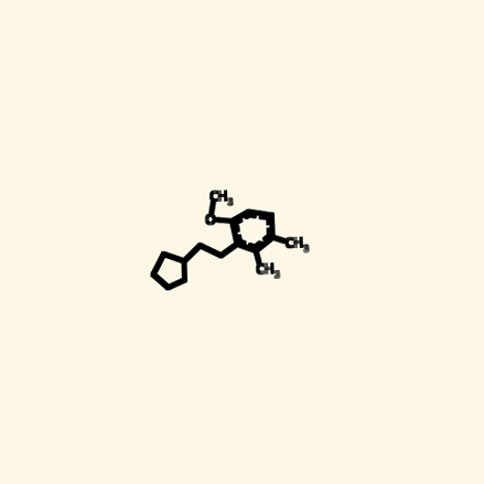 COc1ccc(C)c(C)c1CCC1CCCC1